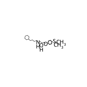 CC(C)Sc1ccc(OCC(O)CNCCCCC2CCCCC2)cc1